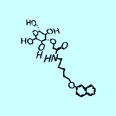 O=C(CO[C@H]1[C@H](O)[C@@H](CO)OC(O)[C@@H]1O)NCCCCCOc1ccc2ccccc2c1